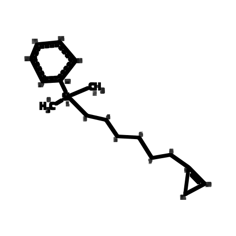 C[Si](C)(CCCCCCC1=CC1)c1ccccc1